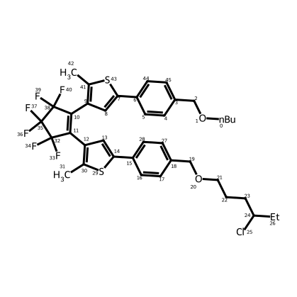 CCCCOCc1ccc(-c2cc(C3=C(c4cc(-c5ccc(COCCCC(Cl)CC)cc5)sc4C)C(F)(F)C(F)(F)C3(F)F)c(C)s2)cc1